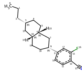 CCC[C@@H]1CC[C@@H]2C[C@H](c3ccc(C#N)c(F)c3)CC[C@@H]2C1